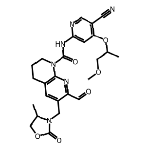 COCC(C)Oc1cc(NC(=O)N2CCCc3cc(CN4C(=O)OCC4C)c(C=O)nc32)ncc1C#N